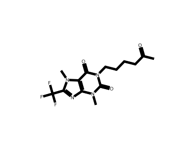 CC(=O)CCCCn1c(=O)c2c(nc(C(F)(F)F)n2C)n(C)c1=O